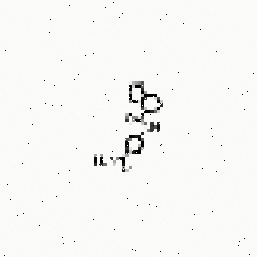 NC(=O)c1ccc(NC(=O)c2cccc3ccccc23)cc1